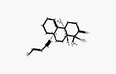 CC1(C)C(=O)CC[C@]2(C)C3=CCCC[C@]3(C#CC=CCl)CC[C@@H]12